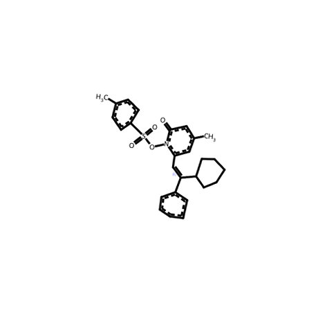 Cc1ccc(S(=O)(=O)On2c(/C=C(/c3ccccc3)C3CCCCC3)cc(C)cc2=O)cc1